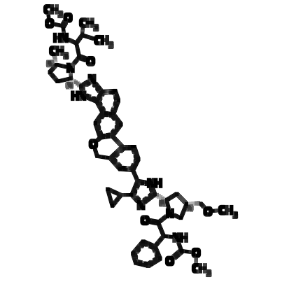 COC[C@H]1C[C@@H](c2nc(C3CC3)c(-c3ccc4c(c3)COc3cc5c(ccc6nc([C@@H]7CC[C@H](C)N7C(=O)C(NC(=O)OC)C(C)C)[nH]c65)cc3-4)[nH]2)N(C(=O)C(NC(=O)OC)c2ccccc2)C1